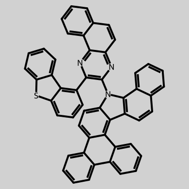 c1ccc2c(c1)ccc1nc(-n3c4ccc5c6ccccc6c6ccccc6c5c4c4ccc5ccccc5c43)c(-c3cccc4sc5ccccc5c34)nc12